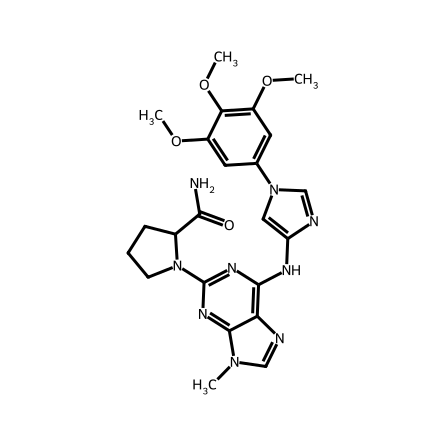 COc1cc(-n2cnc(Nc3nc(N4CCCC4C(N)=O)nc4c3ncn4C)c2)cc(OC)c1OC